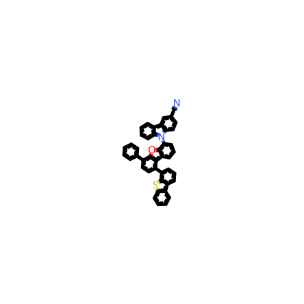 N#Cc1ccc2c(c1)c1ccccc1n2-c1cccc2c1oc1c(-c3ccccc3)ccc(-c3cccc4c3sc3ccccc34)c12